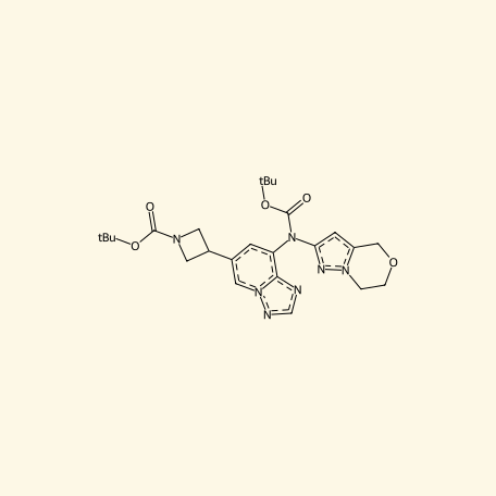 CC(C)(C)OC(=O)N1CC(c2cc(N(C(=O)OC(C)(C)C)c3cc4n(n3)CCOC4)c3ncnn3c2)C1